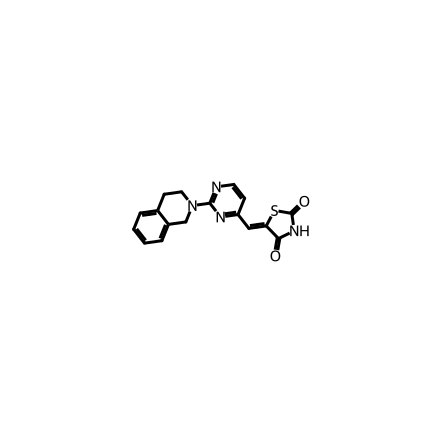 O=C1NC(=O)/C(=C/c2ccnc(N3CCc4ccccc4C3)n2)S1